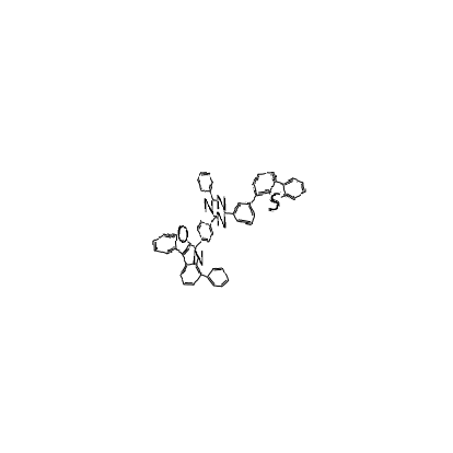 c1ccc(-c2nc(-c3ccc(-c4nc5c(-c6ccccc6)cccc5c5c4oc4ccccc45)cc3)nc(-c3cccc(-c4cccc5c4sc4ccccc45)c3)n2)cc1